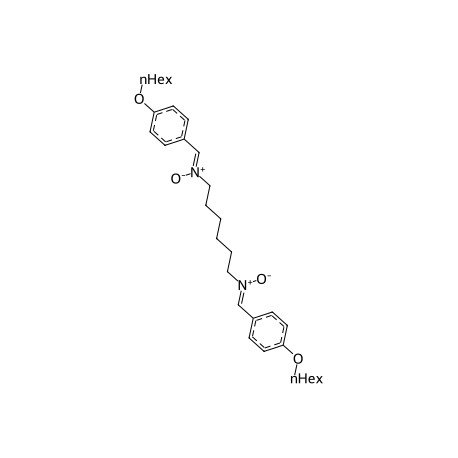 CCCCCCOc1ccc(C=[N+]([O-])CCCCCC[N+]([O-])=Cc2ccc(OCCCCCC)cc2)cc1